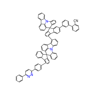 N#Cc1ccccc1-c1cccc(-c2ccc3c(c2)C2(c4ccccc4-n4c5ccccc5c5cccc2c54)c2cccc(-c4cccc5c4c4cccc6c4n5-c4ccccc4C64c5ccccc5-c5c(-c6ccc(-c7ccc(-c8ccccc8)nn7)cc6)cccc54)c2-3)c1